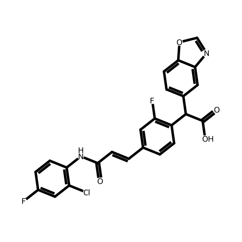 O=C(C=Cc1ccc(C(C(=O)O)c2ccc3ocnc3c2)c(F)c1)Nc1ccc(F)cc1Cl